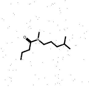 CCCC(=O)N(C)CCCC(C)C